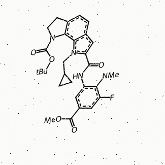 CNc1c(F)cc(C(=O)OC)cc1NC(=O)c1cc2ccc3c(c2n1CC1CC1)N(C(=O)OC(C)(C)C)CC3